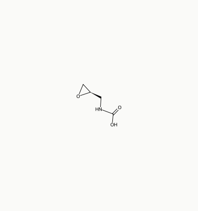 O=C(O)NC[C@@H]1CO1